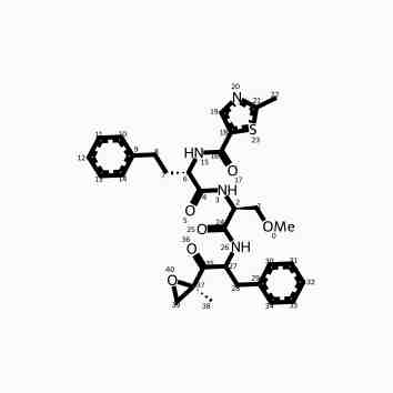 COC[C@H](NC(=O)[C@H](CCc1ccccc1)NC(=O)c1cnc(C)s1)C(=O)NC(Cc1ccccc1)C(=O)[C@@]1(C)CO1